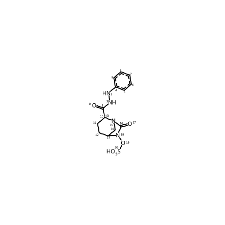 O=C(NNc1ccccc1)[C@@H]1CCC2CN1C(=O)N2OS(=O)(=O)O